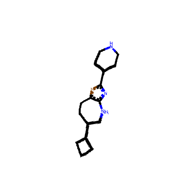 C1CC(C2CCc3sc(C4CCNCC4)nc3NC2)C1